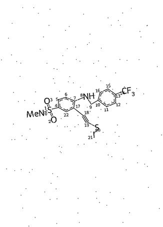 CNS(=O)(=O)c1ccc(NCc2ccc(C(F)(F)F)cc2)c(C#CSI)c1